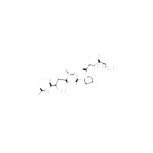 CC(=O)NC(=O)C(O)CC(=O)N(C)NC(=O)[C@@H]1CCCN1C(=O)[C@H](C)NC(=O)[C@H](C)N